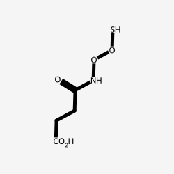 O=C(O)CCC(=O)NOOS